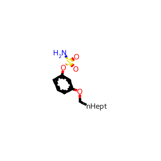 CCCCCCCCOc1cccc(OS(N)(=O)=O)c1